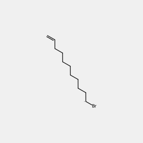 C=CCCCCCCCC[CH]Br